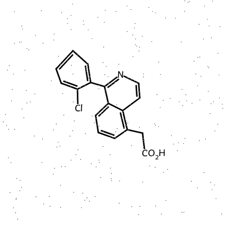 O=C(O)Cc1cccc2c(-c3ccccc3Cl)nccc12